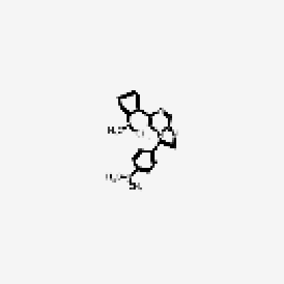 CN(C)c1ccc(-c2cnc3cnc(-c4ccccc4N(C)C)cn23)cc1